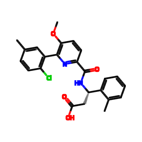 COc1ccc(C(=O)N[C@@H](CC(=O)O)c2ccccc2C)nc1-c1cc(C)ccc1Cl